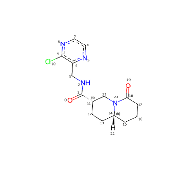 O=C(NCc1nccnc1Cl)[C@H]1CC[C@H]2CCCC(=O)N2C1